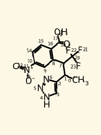 CC(c1c[nH]nn1)C(c1cc([N+](=O)[O-])ccc1C(=O)O)C(F)(F)F